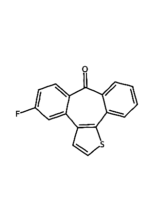 O=c1c2ccc(F)cc2c2ccsc2c2ccccc12